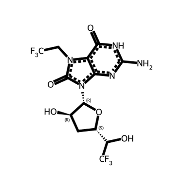 Nc1nc2c(c(=O)[nH]1)n(CC(F)(F)F)c(=O)n2[C@@H]1O[C@H](C(O)C(F)(F)F)C[C@H]1O